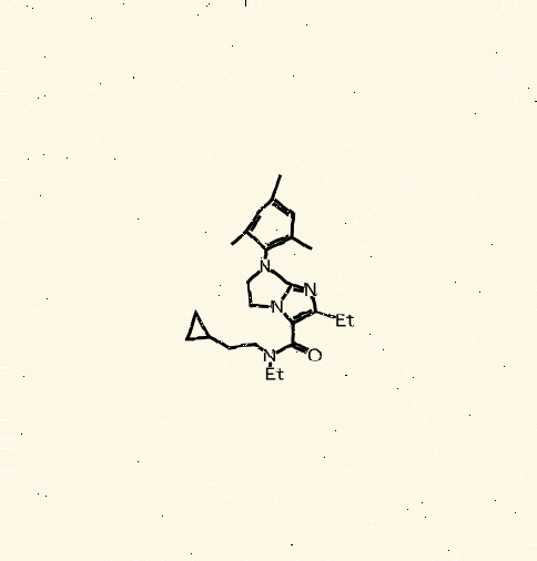 CCc1nc2n(c1C(=O)N(CC)CCC1CC1)CCN2c1c(C)cc(C)cc1C